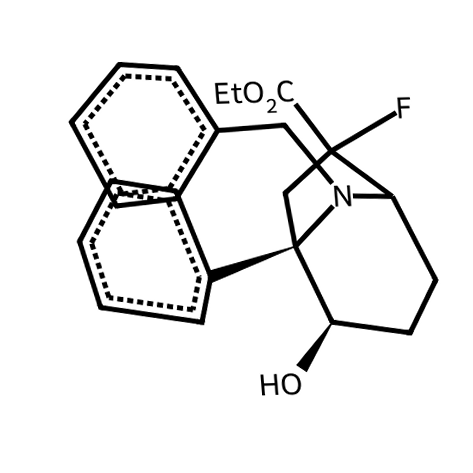 CCOC(=O)C1(F)C[C@@]2(c3ccccc3)[C@H](O)CCC1N2Cc1ccccc1